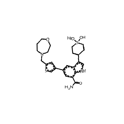 NC(=O)c1cc(-c2csc(CN3CCCOCC3)c2)cc2c(C3CCS(O)(O)CC3)c[nH]c12